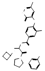 Cc1cc(Oc2ccc(C(=O)NC(C)C(=O)N3[C@H](c4cccc(Cl)c4)CC[C@@H]3C3(C#N)CCC3)cc2C)c(=O)[nH]n1